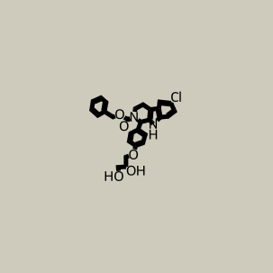 O=C(OCc1ccccc1)N1CCc2c([nH]c3ccc(Cl)cc23)C1c1ccc(OCC(O)CO)cc1